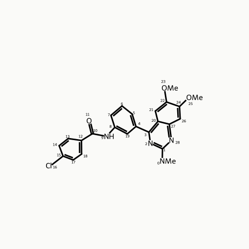 CNc1nc(-c2cccc(NC(=O)c3ccc(Cl)cc3)c2)c2cc(OC)c(OC)cc2n1